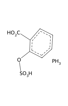 O=C(O)c1ccccc1OS(=O)(=O)O.P